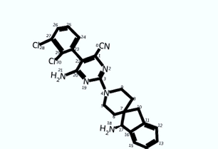 N#Cc1nc(N2CCC3(CC2)Cc2ccccc2[C@H]3N)nc(N)c1-c1cccc(Cl)c1Cl